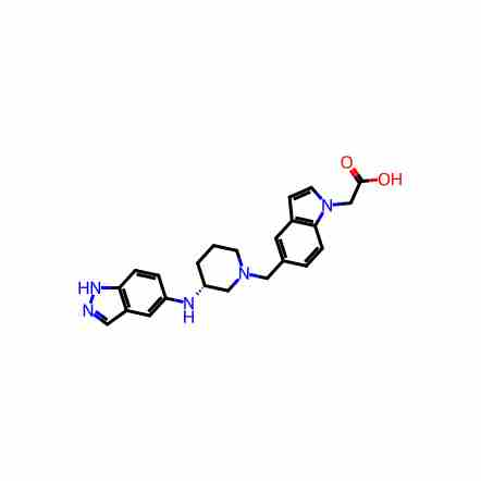 O=C(O)Cn1ccc2cc(CN3CCC[C@@H](Nc4ccc5[nH]ncc5c4)C3)ccc21